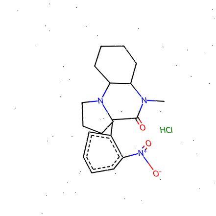 CN(C(=O)Cc1ccccc1[N+](=O)[O-])C1CCCCC1N1CCCC1.Cl